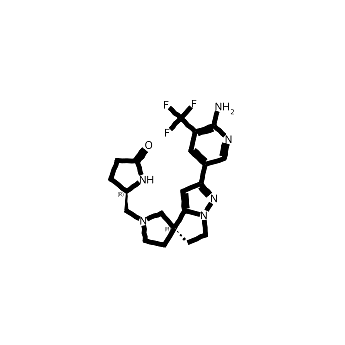 Nc1ncc(-c2cc3n(n2)CC[C@@]32CCN(C[C@H]3CCC(=O)N3)C2)cc1C(F)(F)F